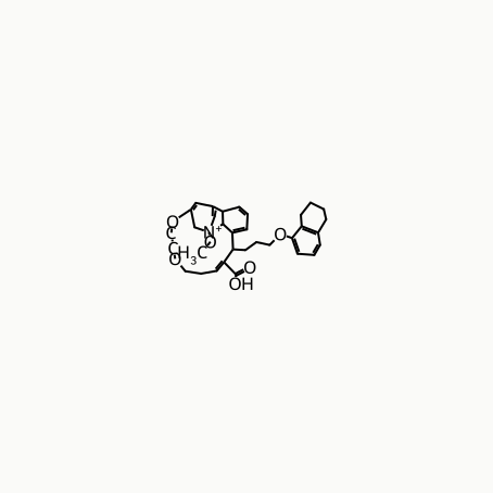 CO[N+]12C=C3C=C(C1)OCCOCC/C=C(/C(=O)O)C(CCCOc1cccc4c1CCCC4)C1=CC=CC3C12